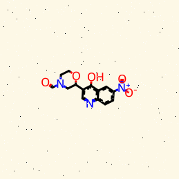 O=CN1CCOC(c2cnc3ccc([N+](=O)[O-])cc3c2O)C1